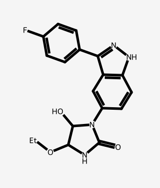 CCOC1NC(=O)N(c2ccc3[nH]nc(-c4ccc(F)cc4)c3c2)C1O